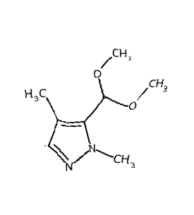 COC(OC)c1c(C)[c]nn1C